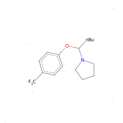 CCCCC(Oc1ccc(C(F)(F)F)cc1)N1CCCC1